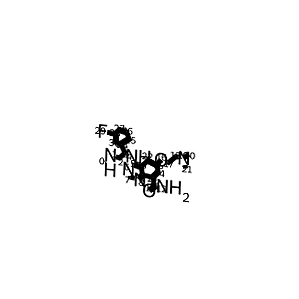 CNCC(Nc1ncnc2c(C(N)=O)cc(OCCN(C)C)cc12)c1cccc(F)c1